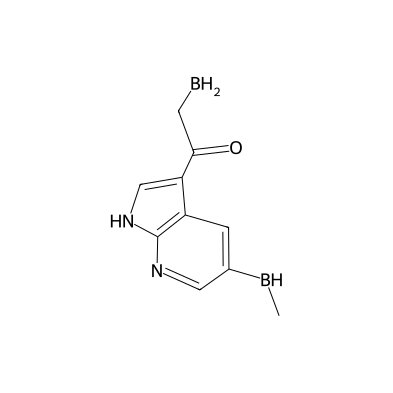 BCC(=O)c1c[nH]c2ncc(BC)cc12